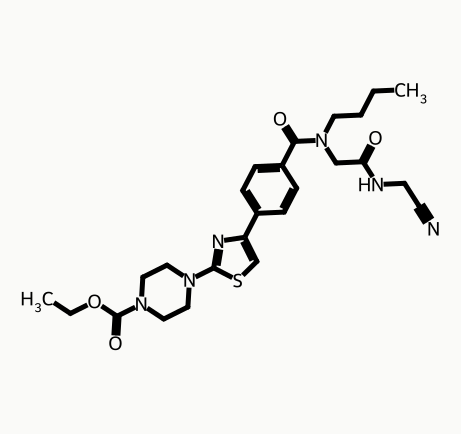 CCCCN(CC(=O)NCC#N)C(=O)c1ccc(-c2csc(N3CCN(C(=O)OCC)CC3)n2)cc1